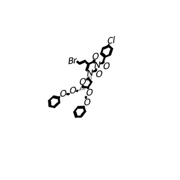 O=C(c1ccc(Cl)cc1)n1c(=O)c(C=CBr)cn([C@@H]2CC(OCOc3ccccc3)[C@H](COCOc3ccccc3)O2)c1=O